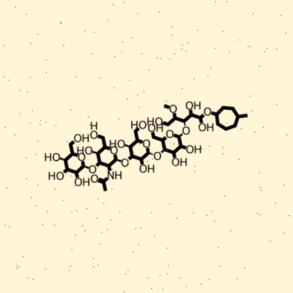 COC(CO)[C@@H](O[C@@H]1OC(CO)[C@H](O[C@H]2OC(CO)[C@H](O)C(O[C@@H]3OC(CO)[C@H](O)C(O[C@@H]4OC(CO)[C@H](O)C(O)C4O)C3NC(C)=O)C2O)C(O)C1O)C(O)C(O)OC1CCCC(C)CC1